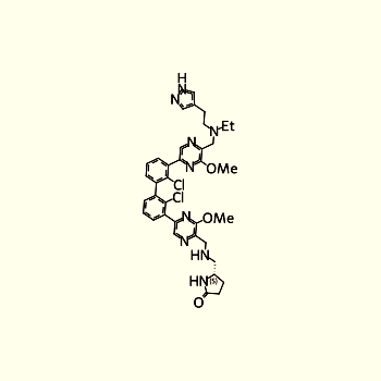 CCN(CCc1cn[nH]c1)Cc1ncc(-c2cccc(-c3cccc(-c4cnc(CNC[C@@H]5CCC(=O)N5)c(OC)n4)c3Cl)c2Cl)nc1OC